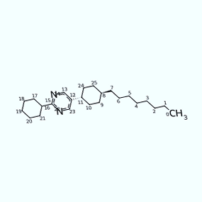 CCCCCCCC[C@H]1CC[C@H](c2cnc(C3CCCCC3)nc2)CC1